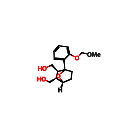 COCOc1ccccc1[C@@]12CC[C@@H](O1)[C@@H](CO)[C@H]2CO